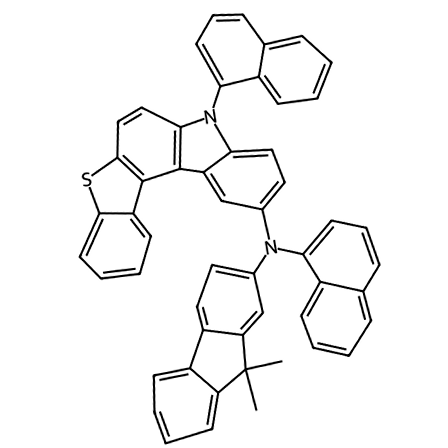 CC1(C)c2ccccc2-c2ccc(N(c3ccc4c(c3)c3c5c(ccc3n4-c3cccc4ccccc34)sc3ccccc35)c3cccc4ccccc34)cc21